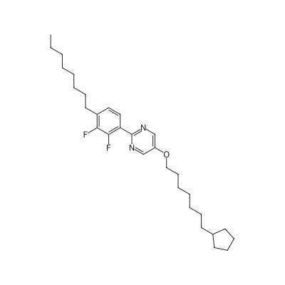 CCCCCCCCc1ccc(-c2ncc(OCCCCCCCC3CCCC3)cn2)c(F)c1F